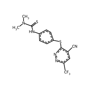 CN(C)C(=S)Nc1ccc(Sc2nnc(C(F)(F)F)cc2C#N)cc1